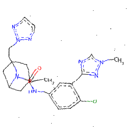 CC1CC2CC(Cn3nccn3)(C1)N2C(=O)Nc1ccc(Cl)c(-c2ncn(C)n2)c1